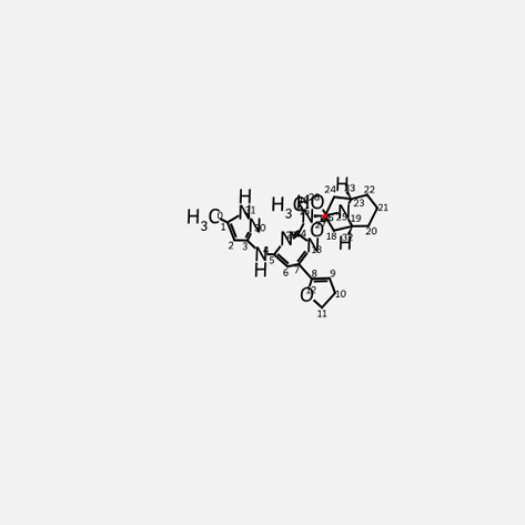 Cc1cc(Nc2cc(C3=CCCO3)nc(N(C)[C@@H]3C[C@H]4CCC[C@@H](C3)N4C(=O)O)n2)n[nH]1